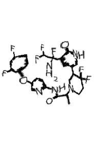 CC(C(=O)Nc1ccc(Oc2ccc(F)cc2F)cn1)N1CCC(F)(F)C(c2c[nH]c(=O)c([C@@](N)(F)C(F)F)c2)C1